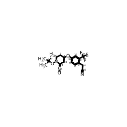 CC(C)(C)ON1CCC(Oc2ccc(CC#N)c(C(F)(F)F)c2)CC1=C=O